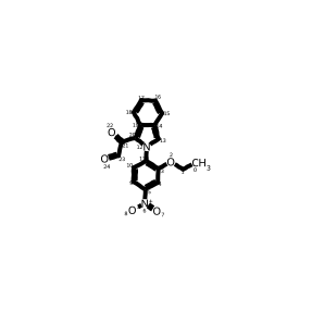 CCOc1cc([N+](=O)[O-])ccc1-n1cc2ccccc2c1C(=O)C=O